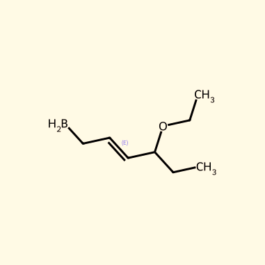 BC/C=C/C(CC)OCC